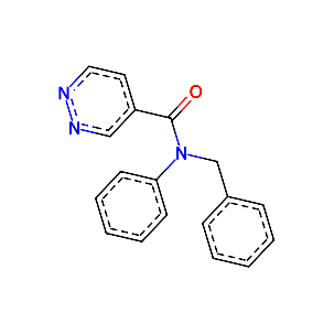 O=C(c1ccnnc1)N(Cc1ccccc1)c1ccccc1